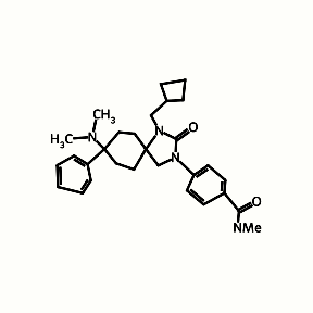 CNC(=O)c1ccc(N2CC3(CCC(c4ccccc4)(N(C)C)CC3)N(CC3CCC3)C2=O)cc1